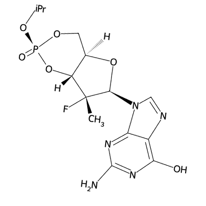 CC(C)O[P@@]1(=O)OC[C@H]2O[C@@H](n3cnc4c(O)nc(N)nc43)[C@](C)(F)[C@@H]2O1